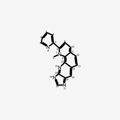 Cn1c(-c2ccccn2)ccc2ccc3cc4ncnc4nc3c21